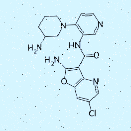 Nc1oc2cc(Cl)cnc2c1C(=O)Nc1cnccc1N1CCCC(N)C1